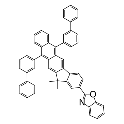 CC1(C)c2cc(-c3nc4ccccc4o3)ccc2-c2cc3c(-c4cccc(-c5ccccc5)c4)c4ccccc4c(-c4cccc(-c5ccccc5)c4)c3cc21